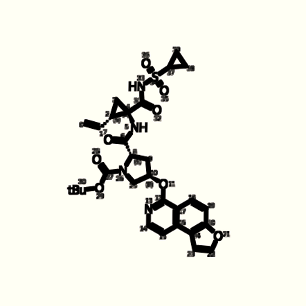 C=C[C@@H]1C[C@]1(NC(=O)[C@@H]1C[C@@H](Oc2nccc3c2ccc2occc23)CN1C(=O)OC(C)(C)C)C(=O)NS(=O)(=O)C1CC1